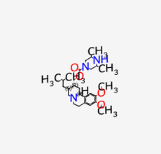 COc1cc2c(cc1OC)[C@H]1C[C@@H](COC(=O)N3CC(C)NC(C)C3)[C@H](CC(C)C)CN1CC2